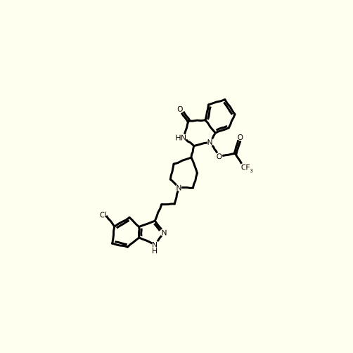 O=C1NC(C2CCN(CCc3n[nH]c4ccc(Cl)cc34)CC2)N(OC(=O)C(F)(F)F)c2ccccc21